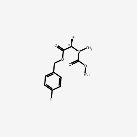 CC(C)[C@H](C(=O)OCc1ccc(F)cc1)N(C)C(=O)OC(C)(C)C